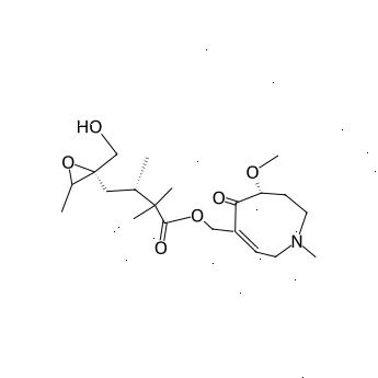 CO[C@@H]1CCN(C)C/C=C(/COC(=O)C(C)(C)[C@@H](C)C[C@@]2(CO)OC2C)C1=O